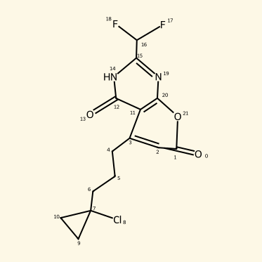 O=c1cc(CCCC2(Cl)CC2)c2c(=O)[nH]c(C(F)F)nc2o1